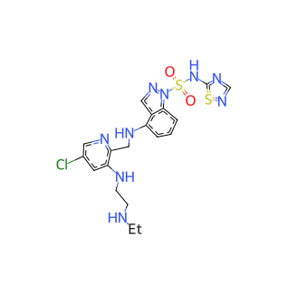 CCNCCNc1cc(Cl)cnc1CNc1cccc2c1cnn2S(=O)(=O)Nc1ncns1